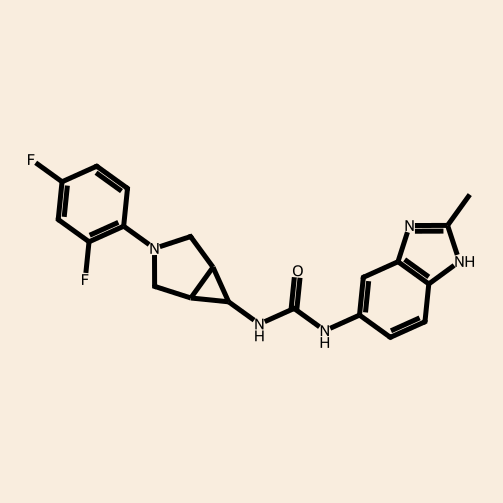 Cc1nc2cc(NC(=O)NC3C4CN(c5ccc(F)cc5F)CC43)ccc2[nH]1